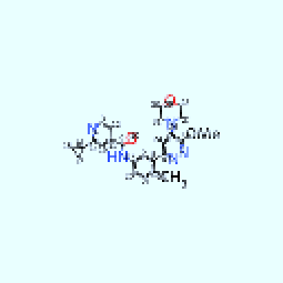 COc1nnc(-c2cc(NC(=O)c3ccnc(C4CC4)c3)ccc2C)cc1N1CCOCC1